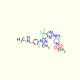 CCNCc1ccc(-n2cc(-c3nc(N[C@H]4CCN(S(C)(=O)=O)C[C@H]4F)ncc3C(F)(F)F)nc2C)c(F)c1